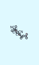 N#Cc1ccccc1-c1cc(-c2cc(C#N)c(-c3ccc(-n4c5ccccc5c5cc(N(c6ccccc6)c6ccccc6)ccc54)cc3)c(C#N)c2)nc(-c2ccccc2C#N)n1